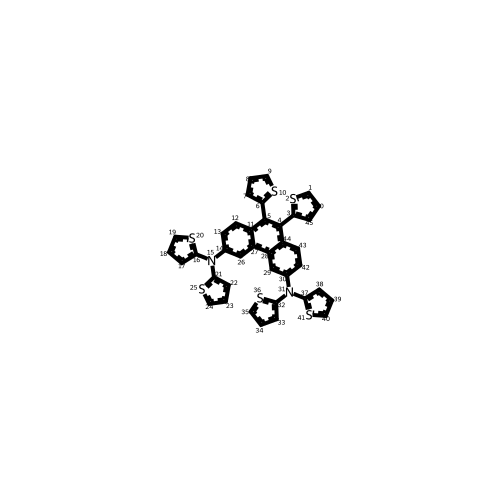 c1csc(-c2c(-c3cccs3)c3ccc(N(c4cccs4)c4cccs4)cc3c3cc(N(c4cccs4)c4cccs4)ccc23)c1